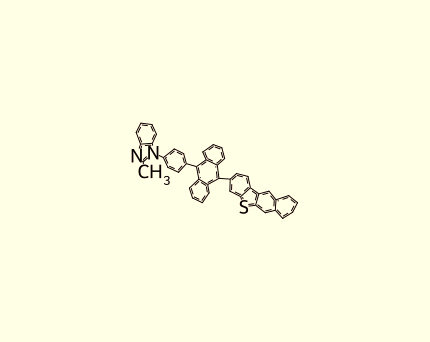 Cc1nc2ccccc2n1-c1ccc(-c2c3ccccc3c(-c3ccc4c(c3)sc3cc5ccccc5cc34)c3ccccc23)cc1